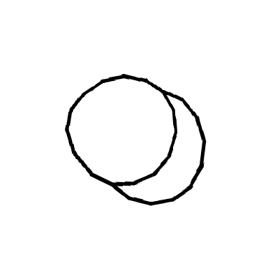 C1CCCCC2CCCCCCCCC(CCC1)CCCCC2